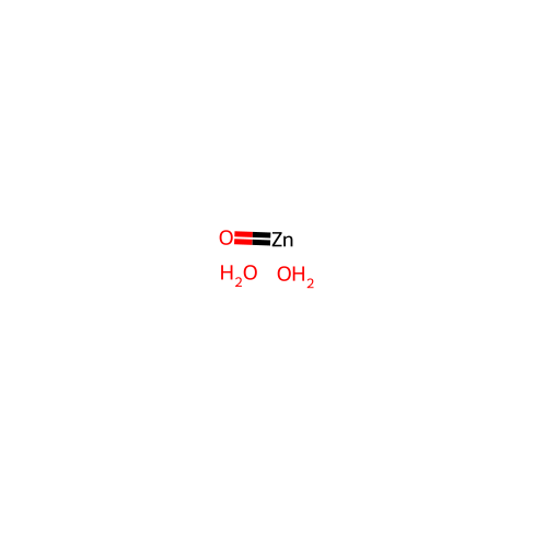 O.O.[O]=[Zn]